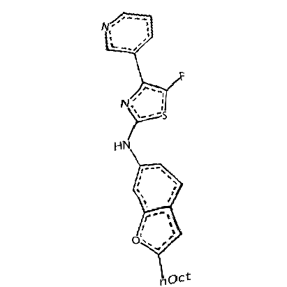 CCCCCCCCc1cc2ccc(Nc3nc(-c4cccnc4)c(F)s3)cc2o1